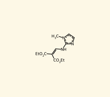 CCOC(=O)C(=CNc1nccn1C)C(=O)OCC